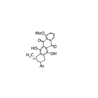 COc1cccc2c1C(=O)c1c(O)c3c(c(O)c1C2=O)CC(C(C)=O)C[C@@H]3C